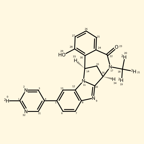 [2H]c1ncc(-c2ccc3nc4n(c3c2)[C@@H]2C[C@H]4N(C([2H])([2H])[2H])C(=O)c3cccc(O)c32)cn1